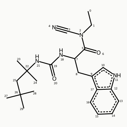 CCN(C#N)C(=O)C(Cc1c[nH]c2ccccc12)NC(=O)NC(C)(C)CC(C)(C)C